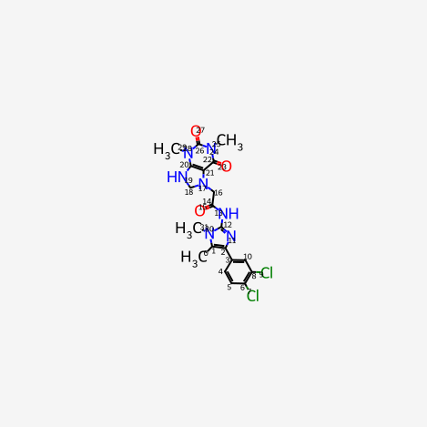 Cc1c(-c2ccc(Cl)c(Cl)c2)nc(NC(=O)CN2CNc3c2c(=O)n(C)c(=O)n3C)n1C